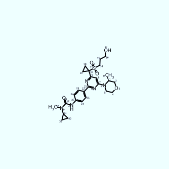 C[C@H]1COCCN1c1cc(C2(S(=O)(=O)CCCO)CC2)nc(-c2ccc(NC(=O)N(C)C3CC3)cc2)n1